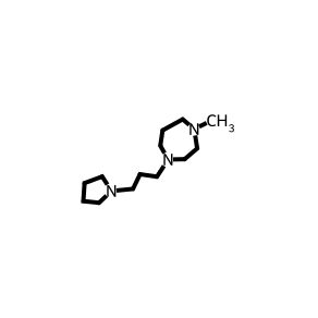 CN1CCCN(CCCN2CCCC2)CC1